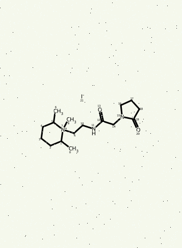 CC1CCCC(C)[N+]1(C)CCNC(=O)CN1CCCC1=O.[I-]